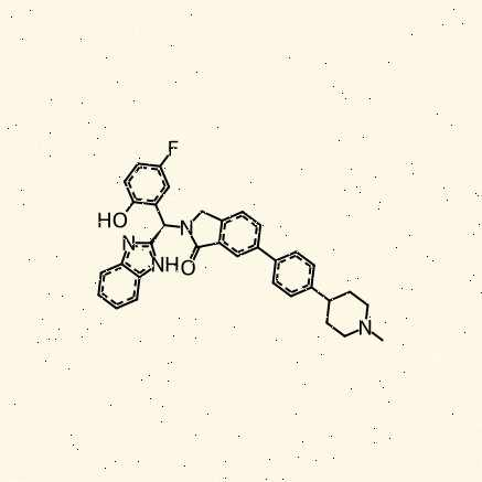 CN1CCC(c2ccc(-c3ccc4c(c3)C(=O)N([C@@H](c3nc5ccccc5[nH]3)c3cc(F)ccc3O)C4)cc2)CC1